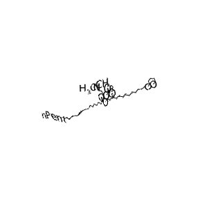 CCCCCC=CCC=CCCCCCCCC(=O)OCCC(CCCCCCCCCCOC1CCCCO1)OC(=O)OCCCN(C)C